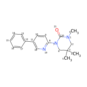 CN1CC(C)(C)CN(c2ccc(-c3ccccc3)cn2)C1=O